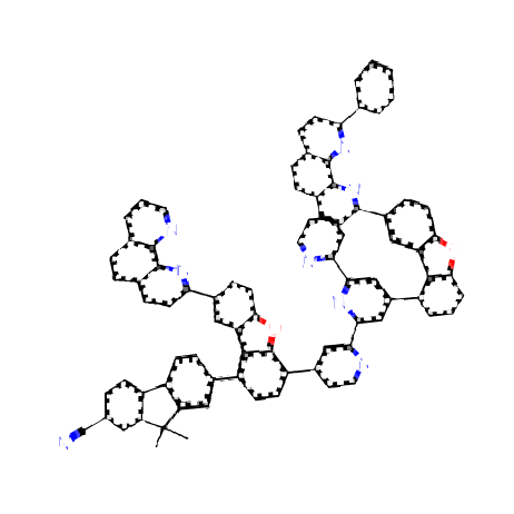 CC1(C)c2cc(C#N)ccc2-c2ccc(-c3ccc(-c4ccnc(-c5cc(-c6cccc7oc8ccc(-c9ccc%10ccc%11ccc(-c%12ccccc%12)nc%11c%10n9)cc8c67)cc(-c6ccccn6)n5)c4)c4oc5ccc(-c6ccc7ccc8cccnc8c7n6)cc5c34)cc21